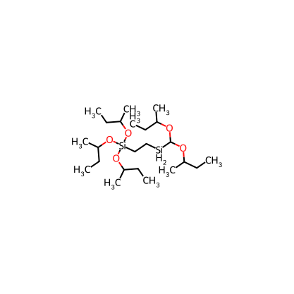 CCC(C)OC(OC(C)CC)[SiH2]CC[Si](OC(C)CC)(OC(C)CC)OC(C)CC